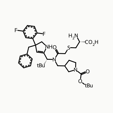 CC(C)(C)OC(=O)N1CCC(CN(C(=O)CSC[C@H](N)C(=O)O)[C@@H](C2=CC(Cc3ccccc3)(c3cc(F)ccc3F)CN2)C(C)(C)C)C1